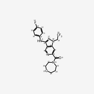 O=C(c1cc2c(cn1)c(Nc1ccc(F)cc1)nn2CC(F)(F)F)N1CCCOCC1